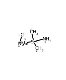 CNCl.C[Si](C)(C)N